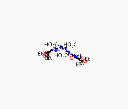 CCO[Si](CCCNC(=O)CN(CCN(CCN(CC(=O)O)CC(=O)NCCC[Si](OCC)(OCC)OCC)CC(=O)O)CC(=O)O)(OCC)OCC